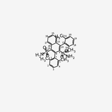 Cc1cccc(C)c1-c1c(S(N)(=O)=O)c(-c2c(C)cccc2C)c2ccccc2c1S(N)(=O)=O